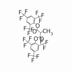 CC(C(=O)Oc1c(C(F)(F)F)cc(C(F)(F)F)cc1C(F)(F)F)C(=O)Oc1c(C(F)(F)F)cc(C(F)(F)F)cc1C(F)(F)F